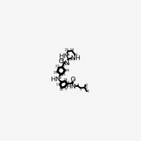 CC(C)CCNC(=O)c1cccc(Nc2ccc(C(=O)N=C3NCCCN3)cc2)c1